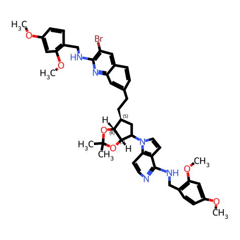 COc1ccc(CNc2nc3cc(CC[C@H]4CC(n5ccc6c(NCc7ccc(OC)cc7OC)nccc65)[C@@H]5OC(C)(C)O[C@H]45)ccc3cc2Br)c(OC)c1